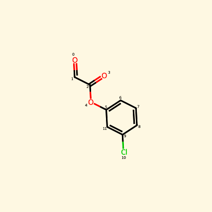 O=CC(=O)Oc1cccc(Cl)c1